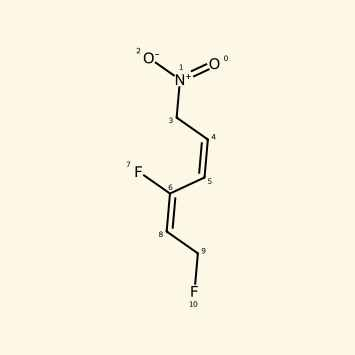 O=[N+]([O-])C/C=C\C(F)=C/CF